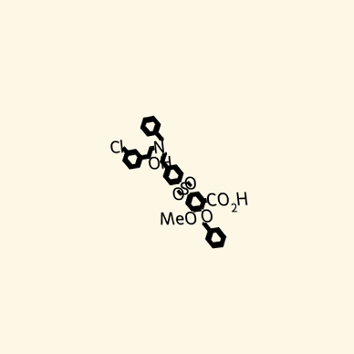 COc1cc(S(=O)(=O)c2ccc(CCN(Cc3ccccc3)C[C@@H](O)c3cccc(Cl)c3)cc2)cc(C(=O)O)c1OCc1ccccc1